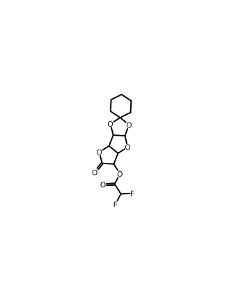 O=C(OC1C(=O)OC2C3OC4(CCCCC4)OC3OC12)C(F)F